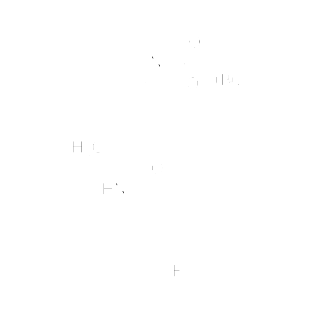 CC(C(=O)Nc1ccc(F)cc1)c1ccc2c(c1)CCCN2C(=O)OC(C)(C)C